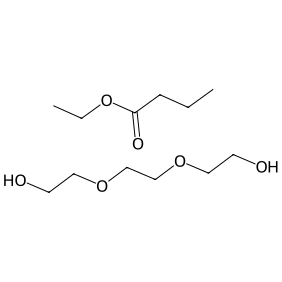 CCCC(=O)OCC.OCCOCCOCCO